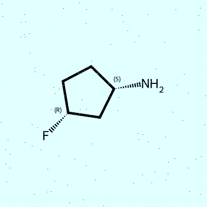 N[C@H]1CC[C@@H](F)C1